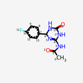 CC(=O)NC1=NC(c2ccc(F)cc2)NC(=O)N1